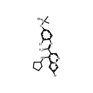 CCc1cc(O[Si](C)(C)C(C)(C)C)ccc1/N=C(\N)c1cnn2cc(Br)cc2c1NC1CCCC1